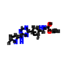 Cc1cc(-c2ncnc(NC3=NC(C)C=C3)n2)ccc1CNC(=O)OC(C)(C)C